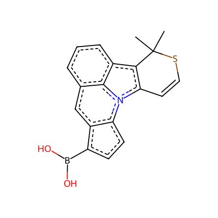 CC1(C)SC=Cc2c1c1cccc3cc4c(B(O)O)ccc4n2c31